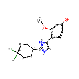 COc1cc(O)ccc1-c1cnc(C2CCC(F)(F)CC2)[nH]1